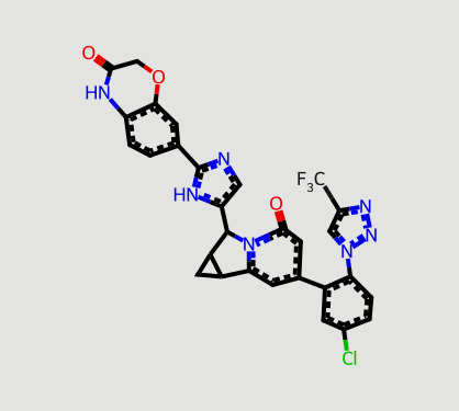 O=C1COc2cc(-c3ncc(C4C5CC5c5cc(-c6cc(Cl)ccc6-n6cc(C(F)(F)F)nn6)cc(=O)n54)[nH]3)ccc2N1